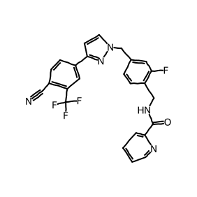 N#Cc1ccc(-c2ccn(Cc3ccc(CNC(=O)c4ccccn4)c(F)c3)n2)cc1C(F)(F)F